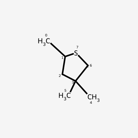 CC1CC(C)(C)[CH]S1